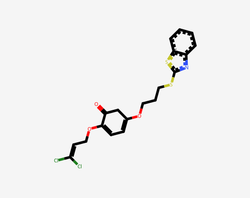 O=C1CC(OCCCSc2nc3ccccc3s2)=CC=C1OCC=C(Cl)Cl